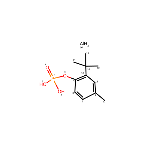 Cc1ccc(OP(=O)(O)O)c(C(C)(C)C)c1.[AlH3]